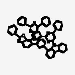 c1ccc(-c2cc(-n3c4ccccc4c4cccc(-c5ccc6c(c5)c5ccc7nc(-c8ccccc8)oc7c5n6-c5cc(-c6ccccc6)nc(-c6ccccc6)n5)c43)nc(-c3ccccc3)n2)cc1